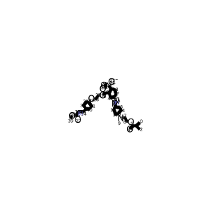 C=C(C)C(=O)OCCN(C)c1ccc(/N=N/c2ccc([N+](=O)[O-])c(C(=O)OCCOc3ccc(/C=C/C(=O)OC)cc3)c2)cc1